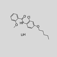 CCCCCOc1ccc(PC(=O)c2ccccc2OC)c(Cl)c1.[LiH]